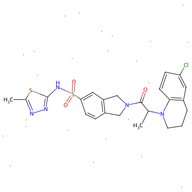 Cc1nnc(NS(=O)(=O)c2ccc3c(c2)CN(C(=O)C(C)N2CCCc4cc(Cl)ccc42)C3)s1